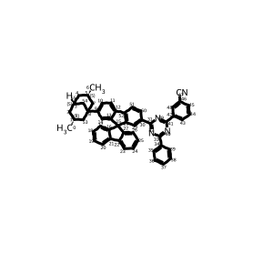 C[C@@H]1C[C@@H]2C[C@H](C)CC(c3ccc4c(c3)C3(c5ccccc5-c5ccccc53)c3cc(-c5nc(-c6ccccc6)nc(-c6cccc(C#N)c6)n5)ccc3-4)(C1)C2